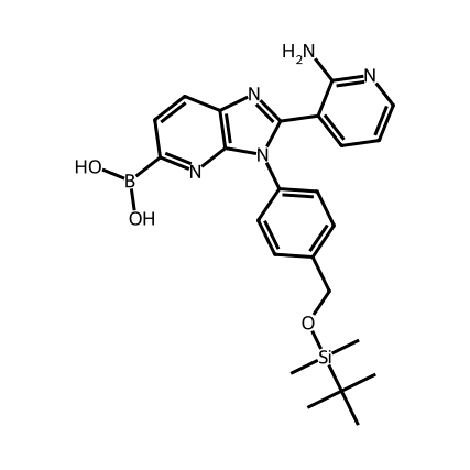 CC(C)(C)[Si](C)(C)OCc1ccc(-n2c(-c3cccnc3N)nc3ccc(B(O)O)nc32)cc1